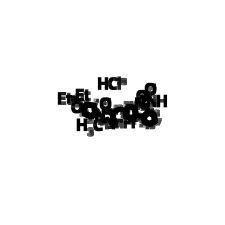 CCCc1nc(C)n(-c2ccc(OC(CC)CC)cc2)c(=O)c1Cc1ccc(-c2ccccc2-c2noc(=O)[nH]2)cc1.Cl